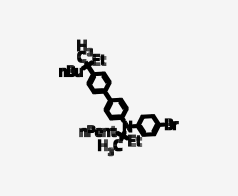 CCCCCC(C)(CC)N(C1=CC=C(Br)CC1)c1ccc(-c2ccc(C(C)(CC)CCCC)cc2)cc1